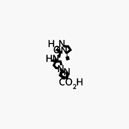 C#C[C@H]1CC[C@@H](N)N1C(=O)CNC1(C)CCN(c2cc(C(=O)O)ccn2)CC1